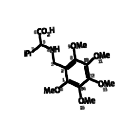 COc1c(CNC(C(=O)O)C(C)C)c(OC)c(OC)c(OC)c1OC